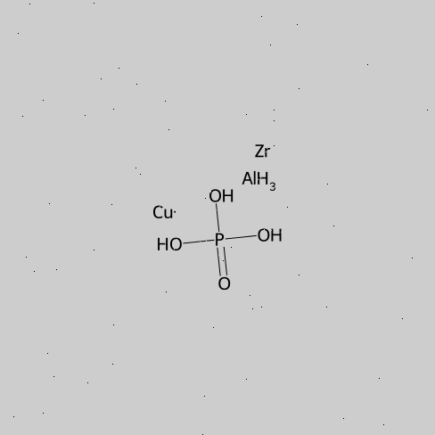 O=P(O)(O)O.[AlH3].[Cu].[Zr]